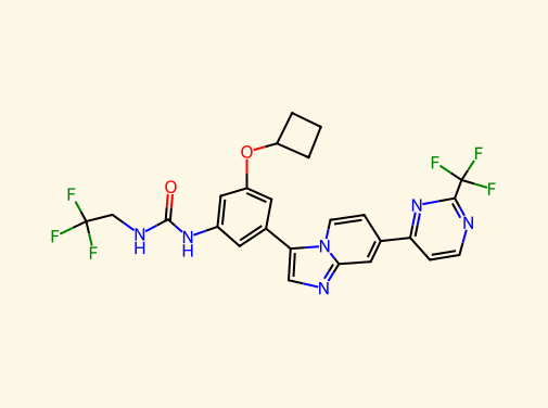 O=C(NCC(F)(F)F)Nc1cc(OC2CCC2)cc(-c2cnc3cc(-c4ccnc(C(F)(F)F)n4)ccn23)c1